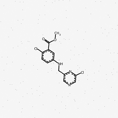 COC(=O)c1cc(NCc2cncc(Cl)n2)ccc1Cl